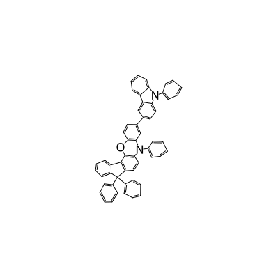 c1ccc(N2c3cc(-c4ccc5c(c4)c4ccccc4n5-c4ccccc4)ccc3Oc3c2ccc2c3-c3ccccc3C2(c2ccccc2)c2ccccc2)cc1